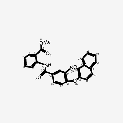 COC(=O)c1ccccc1NC(=O)c1ccc(Oc2ccc3ccccc3c2)c([N+](=O)[O-])c1